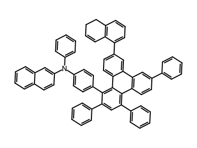 C1=Cc2c(cccc2-c2ccc3c(c2)c2cc(-c4ccccc4)ccc2c2c(-c4ccccc4)cc(-c4ccccc4)c(-c4ccc(N(c5ccccc5)c5ccc6ccccc6c5)cc4)c32)CC1